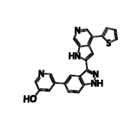 Oc1cncc(-c2ccc3[nH]nc(-c4cc5c(-c6cccs6)cncc5[nH]4)c3c2)c1